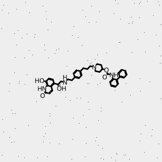 O=C(Nc1ccccc1-c1ccccc1)OC1CCN(CCCc2ccc(CCNC[C@@H](O)c3ccc(O)c4[nH]c(=O)ccc34)cc2)CC1